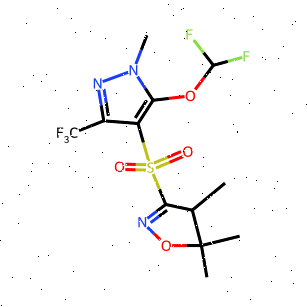 CC1C(S(=O)(=O)c2c(C(F)(F)F)nn(C)c2OC(F)F)=NOC1(C)C